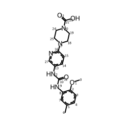 COc1ccc(C)cc1NC(=O)Nc1ccc(N2CCN(C(=O)O)CC2)nc1